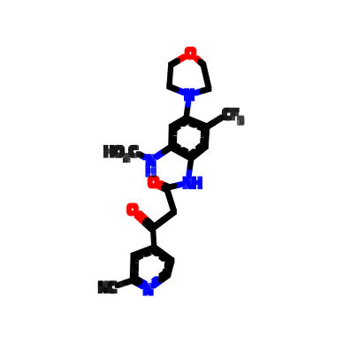 N#Cc1cc(C(=O)CC(=O)Nc2cc(C(F)(F)F)c(N3CCOCC3)cc2NC(=O)O)ccn1